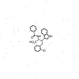 O=C(NC(C(=O)O)C(Cc1ccccc1Cl)c1c[nH]c2ccccc12)c1ccccc1